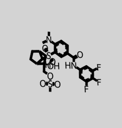 CN(C)c1ccc(C(=O)Nc2cc(F)c(F)c(F)c2)cc1S(=O)(=O)[C@@H]1C2CCC1[C@@](O)(COS(C)(=O)=O)C2